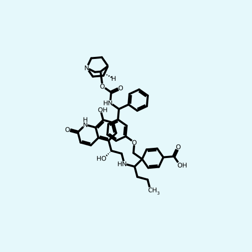 CCCC(NC[C@H](O)c1ccc(O)c2[nH]c(=O)ccc12)C1(COc2cccc(C(NC(=O)O[C@H]3CN4CCC3CC4)c3ccccc3)c2)C=CC(C(=O)O)C=C1